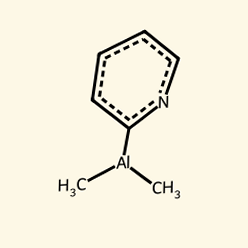 [CH3][Al]([CH3])[c]1ccccn1